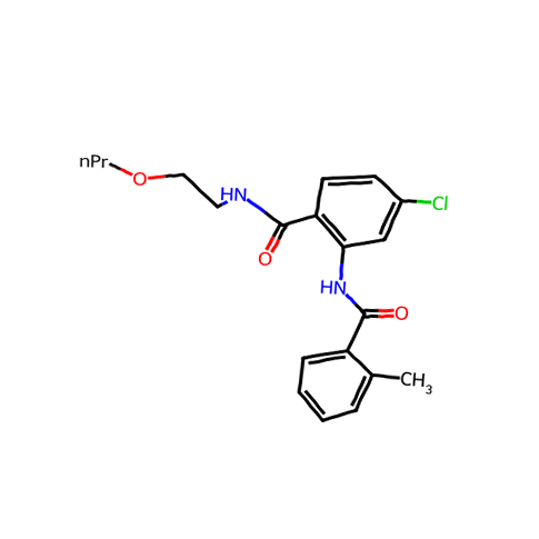 CCCOCCNC(=O)c1ccc(Cl)cc1NC(=O)c1ccccc1C